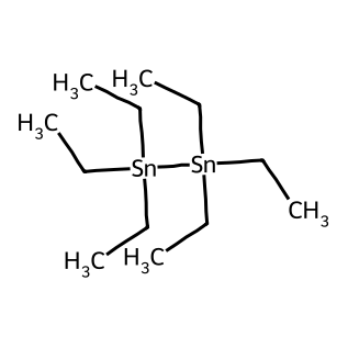 C[CH2][Sn]([CH2]C)([CH2]C)[Sn]([CH2]C)([CH2]C)[CH2]C